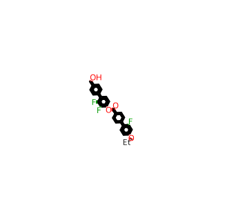 CCOc1ccc(C2CCC(C(=O)Oc3ccc(-c4ccc(CO)cc4)c(F)c3F)CC2)c(F)c1